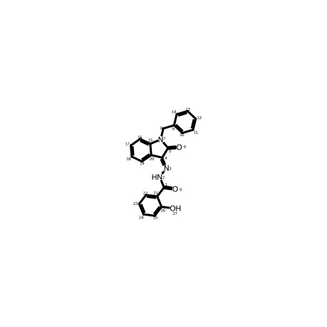 O=C(N/N=C1/C(=O)N(Cc2ccccc2)c2ccccc21)c1ccccc1O